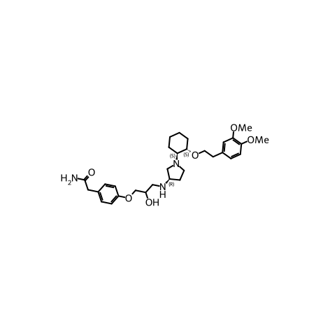 COc1ccc(CCO[C@H]2CCCC[C@@H]2N2CC[C@@H](NCC(O)COc3ccc(CC(N)=O)cc3)C2)cc1OC